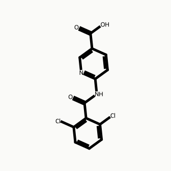 O=C(O)c1ccc(NC(=O)c2c(Cl)cccc2Cl)nc1